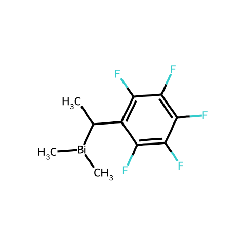 C[CH](c1c(F)c(F)c(F)c(F)c1F)[Bi]([CH3])[CH3]